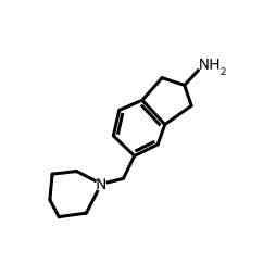 NC1Cc2ccc(CN3CCCCC3)cc2C1